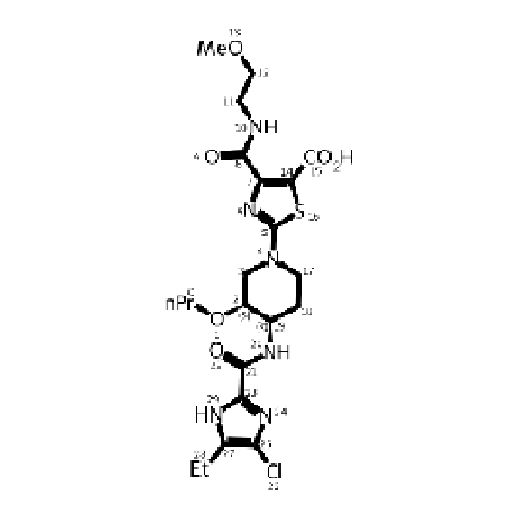 CCCO[C@H]1CN(c2nc(C(=O)NCCOC)c(C(=O)O)s2)CC[C@H]1NC(=O)c1nc(Cl)c(CC)[nH]1